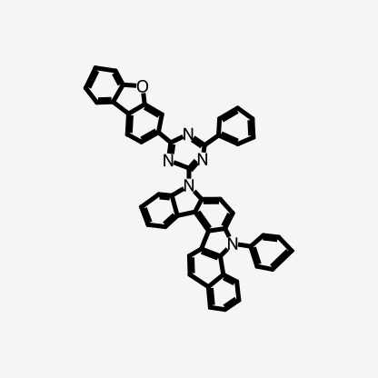 c1ccc(-c2nc(-c3ccc4c(c3)oc3ccccc34)nc(-n3c4ccccc4c4c5c6ccc7ccccc7c6n(-c6ccccc6)c5ccc43)n2)cc1